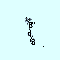 O=c1cc(-c2nnn[nH]2)oc2cc(/C=C/c3cccc(OCc4ccc5ccccc5n4)c3)ccc12